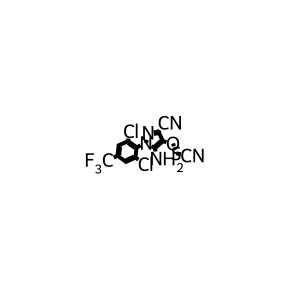 N#CSOc1c(C#N)nn(-c2c(Cl)cc(C(F)(F)F)cc2Cl)c1N